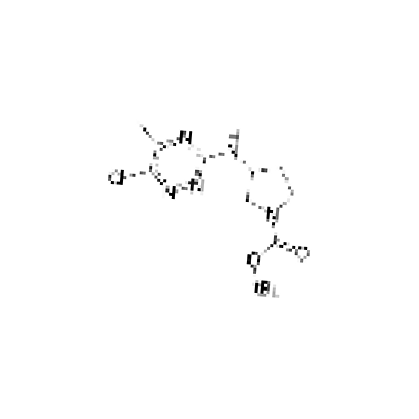 Cc1nc(N[C@@H]2CCN(C(=O)OC(C)(C)C)C2)nnc1Cl